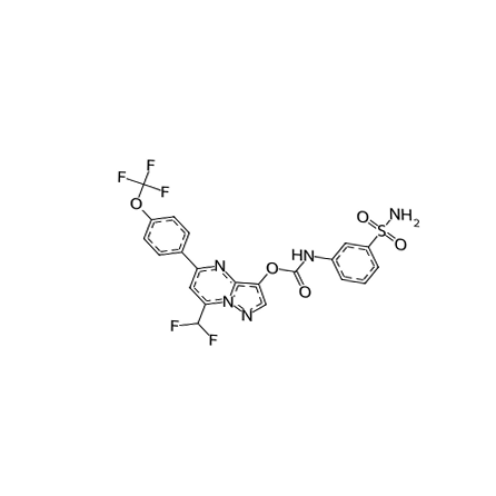 NS(=O)(=O)c1cccc(NC(=O)Oc2cnn3c(C(F)F)cc(-c4ccc(OC(F)(F)F)cc4)nc23)c1